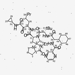 CCN1C(=O)C2CCCN2C12C[C@@H](C(=O)NC(CCC(C)C)C(=O)C(=O)NC1CC1)N(C(=O)[C@@H](NC(=O)[C@@H](NC(=O)c1cnccn1)C1CCCCC1)C(C)(C)C)C2